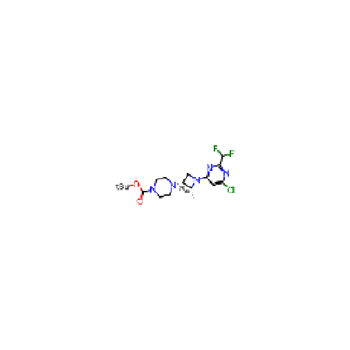 C[C@@H]1[C@H](N2CCN(C(=O)OC(C)(C)C)CC2)CN1c1cc(Cl)nc(C(F)F)n1